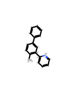 Cc1ccc(-c2ccccc2)cc1-c1ccccn1